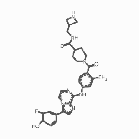 Cc1cc(Nc2nccn3c(C4=CC(F)C(O)C=C4)cnc23)ccc1C(=O)N1CCC(C(=O)NCC2CNC2)CC1